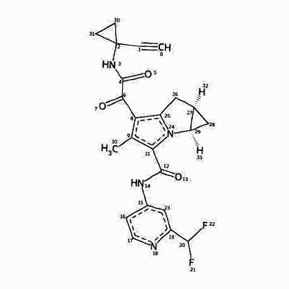 C#CC1(NC(=O)C(=O)c2c(C)c(C(=O)Nc3ccnc(C(F)F)c3)n3c2C[C@H]2C[C@H]23)CC1